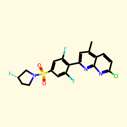 Cc1cc(-c2c(F)cc(S(=O)(=O)N3CC[C@H](F)C3)cc2F)nc2nc(Cl)ccc12